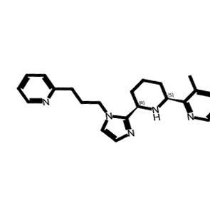 Cc1cccnc1[C@@H]1CCC[C@H](c2nccn2CCCc2ccccn2)N1